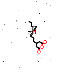 CCC[SiH](C)O[SiH](C)CCCC1CC(=O)OC(=O)C1